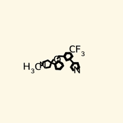 CN1CCC(COCc2cc(-c3ccncc3)cc(C(F)(F)F)c2)(c2ccccc2)CC1